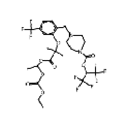 CCOC(=O)OC(C)OC(=O)C(C)(C)Oc1cc(C(F)(F)F)ccc1CN1CCN(C(=O)OC(C(F)(F)F)C(F)(F)F)CC1